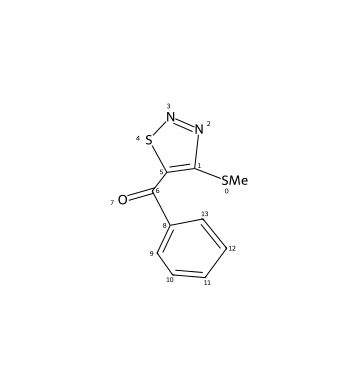 CSc1nnsc1C(=O)c1ccccc1